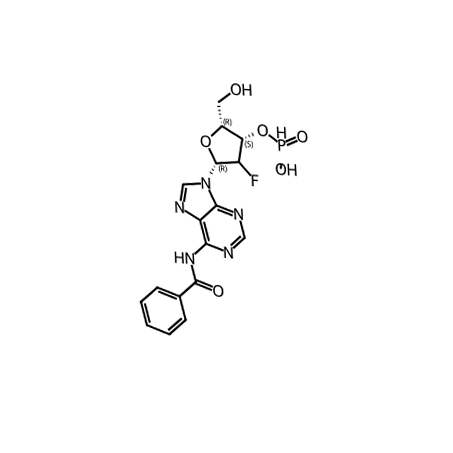 O=C(Nc1ncnc2c1ncn2[C@@H]1O[C@H](CO)[C@H](O[PH](=O)O)C1F)c1ccccc1